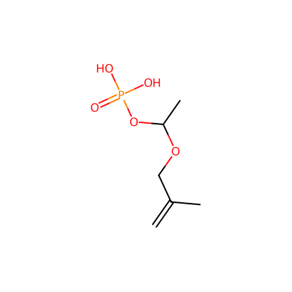 C=C(C)COC(C)OP(=O)(O)O